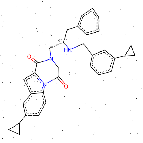 O=C1c2cc3cc(C4CC4)ccc3n2C(=O)CN1C[C@H](Cc1ccccc1)NCc1cccc(C2CC2)c1